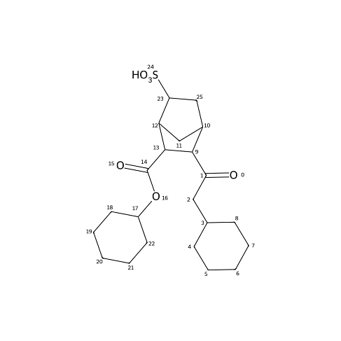 O=C(CC1CCCCC1)C1C2CC(C1C(=O)OC1CCCCC1)C(S(=O)(=O)O)C2